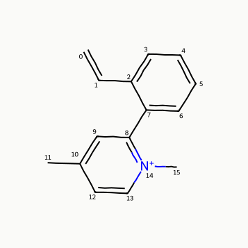 C=Cc1ccccc1-c1cc(C)cc[n+]1C